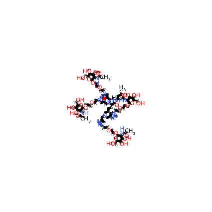 CCCCNC(=O)[C@H](CCCCN(Cc1cn(CCOCCO[C@@H]2O[C@H](CO)[C@H](O)[C@H](O)[C@H]2NC(C)=O)nn1)Cc1cn(CCOCCO[C@@H]2O[C@H](CO)[C@H](O)[C@H](O)[C@H]2NC(C)=O)nn1)N(Cc1cn(CCOCCO[C@@H]2O[C@H](CO)[C@H](O)[C@H](O)[C@H]2NC(C)=O)nn1)Cc1cn(CCOCCO[C@@H]2O[C@H](CO)[C@H](O)[C@H](O)[C@H]2NC(C)=O)nn1